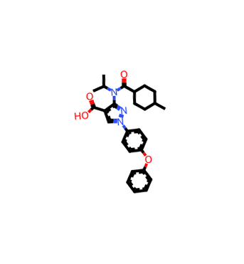 CC1CCC(C(=O)N(c2nn(-c3ccc(Oc4ccccc4)cc3)cc2C(=O)O)C(C)C)CC1